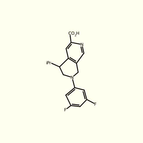 CC(C)C1CN(c2cc(F)cc(F)c2)Cc2cnc(C(=O)O)cc21